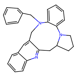 c1ccc(CN2Cc3cc4ccccc4nc3CC3CCCN3c3ccccc32)cc1